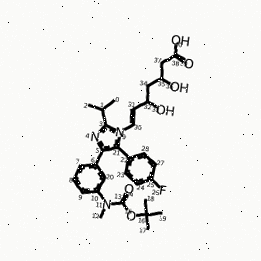 CC(C)c1nc(-c2cccc(N(C)C(=O)OC(C)(C)C)c2)c(-c2ccc(F)cc2)n1/C=C/C(O)CC(O)CC(=O)O